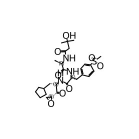 C[C@@H](NC(=O)CC(C)(C)O)C(=O)N[C@@H](Cc1ccc(S(C)(=O)=O)cc1)C(=O)N[C@@H](CC1CCCC1)C(=O)[C@H]1CO1